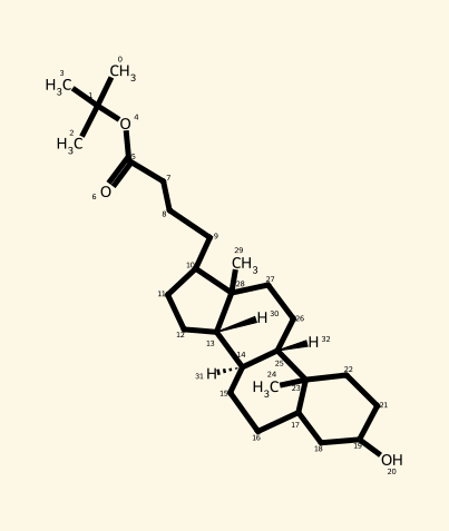 CC(C)(C)OC(=O)CCCC1CC[C@H]2[C@@H]3CCC4CC(O)CCC4(C)[C@H]3CCC12C